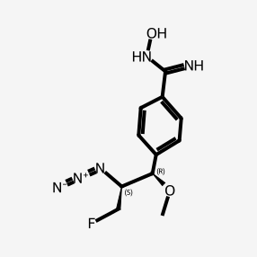 CO[C@H](c1ccc(C(=N)NO)cc1)[C@@H](CF)N=[N+]=[N-]